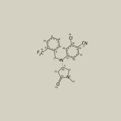 CN1C[C@@H](N(Cc2ccccc2C(F)(F)F)c2ccc(C#N)c(Cl)c2)CC1=O